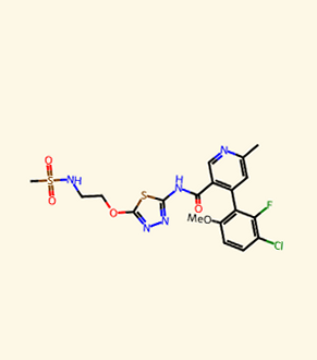 COc1ccc(Cl)c(F)c1-c1cc(C)ncc1C(=O)Nc1nnc(OCCNS(C)(=O)=O)s1